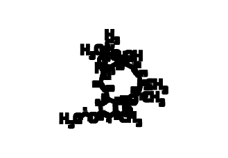 CCOc1cc(C)c2c(c1)/C=C/C[C@@H]1OC(C)(C)O[C@@H]1C(O)/C=C\[C@@H](C)[C@H](C)OC2=O